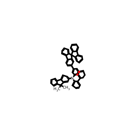 CC1(C)c2ccccc2-c2ccc(N(C3=C=C=CC(c4ccc5c(c4)C4(c6ccccc6-c6ccccc64)c4ccccc4-5)=C3)c3ccccc3C3=CC=CCC3)cc21